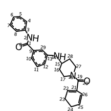 O=C(Nc1ccccc1)c1cccc(NC2CCN(C(=O)C3=CCCC=C3)CC2)c1